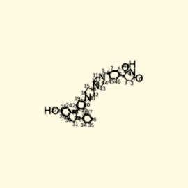 O=C1CCC(c2ccc(CN3CCN(C4CCN(c5ccc([C@@H]6c7ccc(O)cc7CC[C@@H]6c6ccccc6)cc5)CC4)CC3)cc2)C(=O)N1